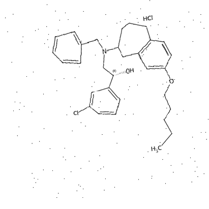 CCCCCOc1ccc2c(c1)CC(N(Cc1ccccc1)C[C@H](O)c1cccc(Cl)c1)CCC2.Cl